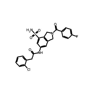 NS(=O)(=O)c1cc(NC(=O)Cc2ccccc2Cl)cc2c1CN(C(=O)c1ccc(F)cc1)C2